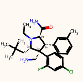 CCN1[C@@H](CC(C)(C)C)[C@](CN)(c2ccc(Cl)cc2F)[C@@H](c2cccc(C)c2)[C@@H]1C(N)=O